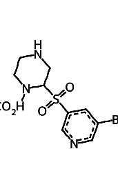 O=C(O)N1CCNCC1S(=O)(=O)c1cncc(Br)c1